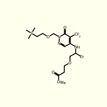 CCC(COCCC(=O)OC)Nc1cnn(COCC[Si](C)(C)C)c(=O)c1C(F)(F)F